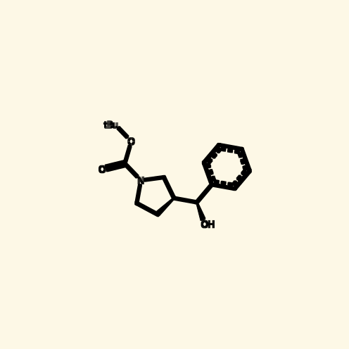 CC(C)(C)OC(=O)N1CC[C@H]([C@H](O)c2ccccc2)C1